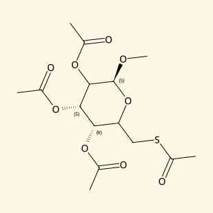 CO[C@H]1OC(CSC(C)=O)[C@H](OC(C)=O)[C@H](OC(C)=O)C1OC(C)=O